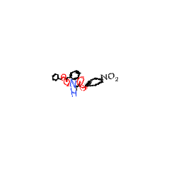 C[C@@H](Nc1ccccc1C(=O)OCc1ccccc1)C(=O)Oc1ccc([N+](=O)[O-])cc1